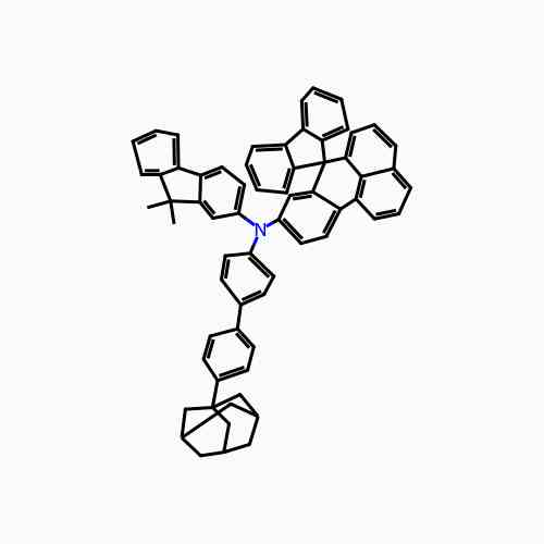 CC1(C)c2ccccc2-c2ccc(N(c3ccc(-c4ccc(C56CC7CC(CC(C7)C5)C6)cc4)cc3)c3ccc4c(c3)C3(c5ccccc5-c5ccccc53)c3cccc5cccc-4c35)cc21